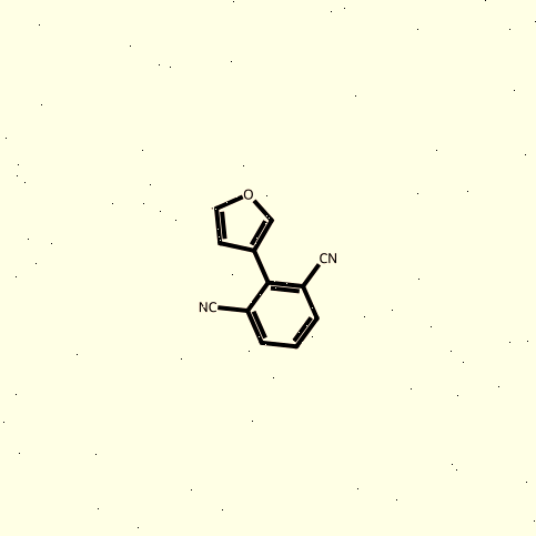 N#Cc1cccc(C#N)c1-c1c[c]oc1